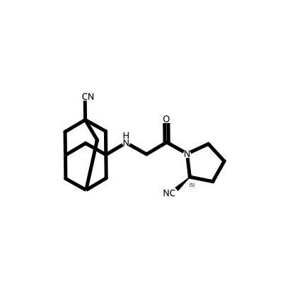 N#C[C@@H]1CCCN1C(=O)CNC12CC3CC(CC(C#N)(C3)C1)C2